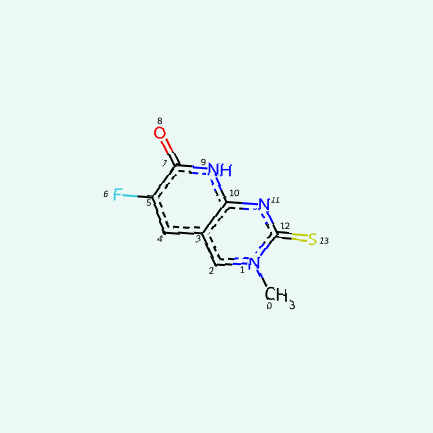 Cn1cc2cc(F)c(=O)[nH]c2nc1=S